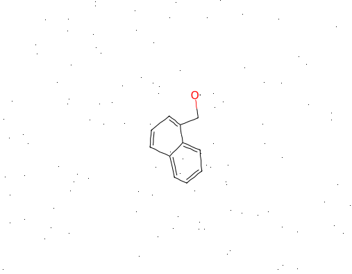 [O]Cc1cccc2ccccc12